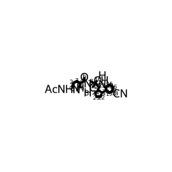 CC(=O)Nc1ccc(C(=O)NCC(C)(C)C2Nc3ccc(C#N)cc3C3C=CCC32)cn1